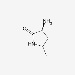 CC1C[C@H](N)C(=O)N1